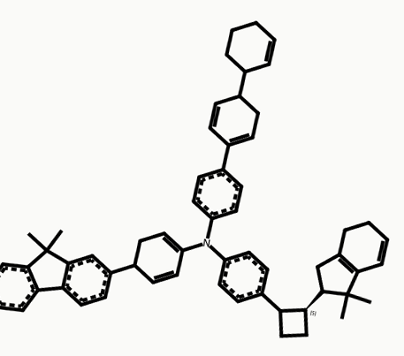 CC1(C)c2ccccc2-c2ccc(C3C=CC(N(c4ccc(C5=CCC(C6C=CCCC6)C=C5)cc4)c4ccc(C5CC[C@@H]5C5CC6=C(C=CCC6)C5(C)C)cc4)=CC3)cc21